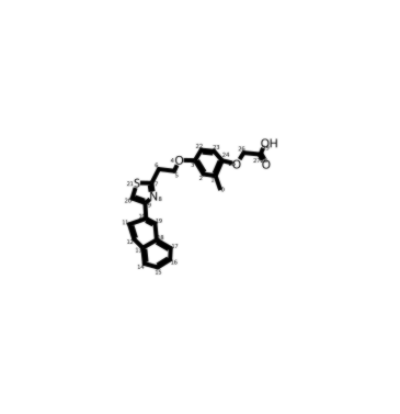 Cc1cc(OCCc2nc(-c3ccc4ccccc4c3)cs2)ccc1OCC(=O)O